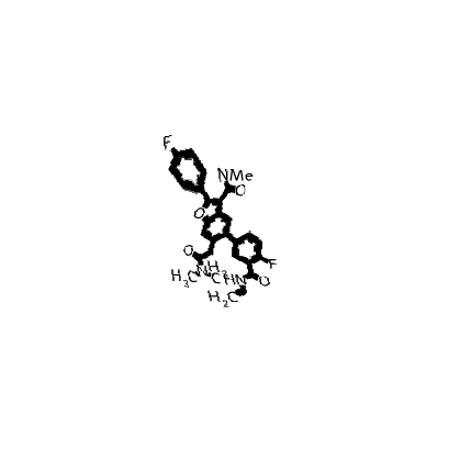 C=CNC(=O)c1cc(-c2cc3c(C(=O)NC)c(-c4ccc(F)cc4)oc3cc2CC(=O)N(C)C)ccc1F